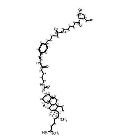 CC(C)CCC[C@@H](C)[C@H]1CCC2C3CC=C4C[C@@H](OC(=O)NCCCCC(=O)N/N=C/c5ccc(OCCCC(=O)NCCCCCC(=O)N6C[C@H](O)C[C@H]6CO)cc5)CC[C@]4(C)C3CC[C@@]21C